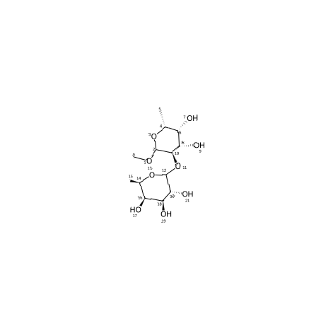 COC1O[C@H](C)[C@H](O)[C@H](O)[C@H]1OC1O[C@H](C)[C@H](O)[C@H](O)[C@H]1O